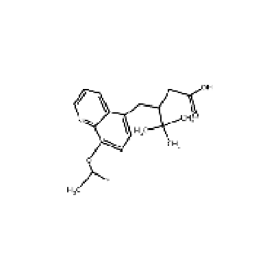 CC(F)Oc1ccc(CC(CC(=O)O)C(C)(C)C)c2cccnc12